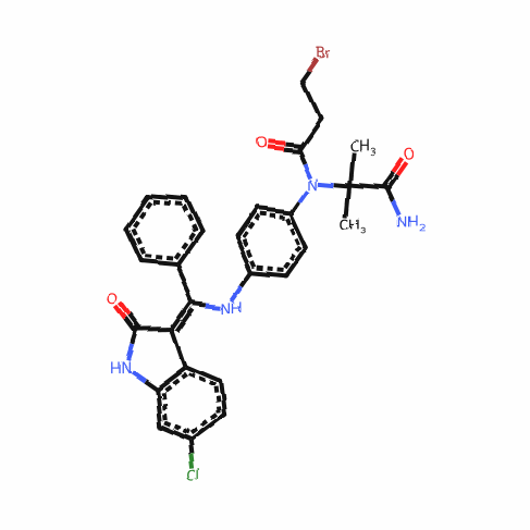 CC(C)(C(N)=O)N(C(=O)CCBr)c1ccc(NC(=C2C(=O)Nc3cc(Cl)ccc32)c2ccccc2)cc1